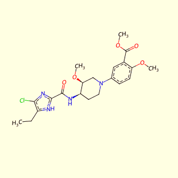 CCc1[nH]c(C(=O)N[C@@H]2CCN(c3ccc(OC)c(C(=O)OC)c3)C[C@@H]2OC)nc1Cl